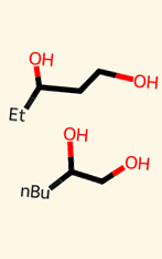 CCC(O)CCO.CCCCC(O)CO